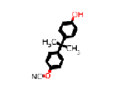 CC(C)(c1ccc(O)cc1)c1ccc(OC#N)cc1